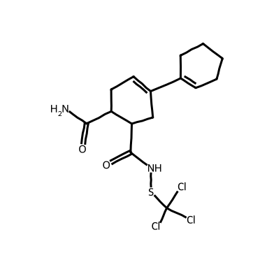 NC(=O)C1CC=C(C2=CCCCC2)CC1C(=O)NSC(Cl)(Cl)Cl